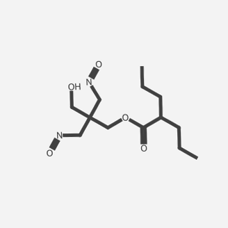 CCCC(CCC)C(=O)OCC(CO)(CN=O)CN=O